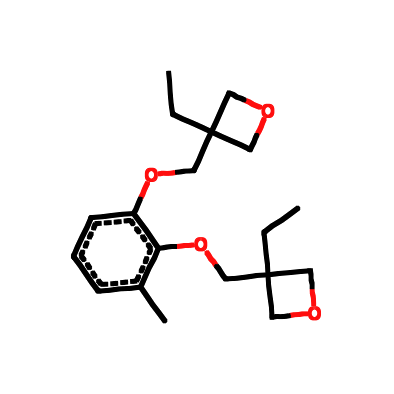 CCC1(COc2cccc(C)c2OCC2(CC)COC2)COC1